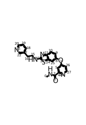 CNC(=O)c1cc(Oc2ccc3nc(NCCc4cccnc4)sc3c2)ccn1